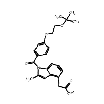 Cc1cc2c(CC(=O)O)cccc2n1C(=O)c1ccc(OCCOC(C)(C)C)cc1